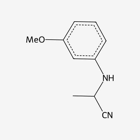 COc1cccc(NC(C)C#N)c1